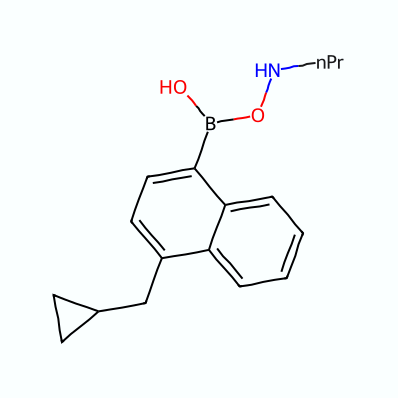 CCCNOB(O)c1ccc(CC2CC2)c2ccccc12